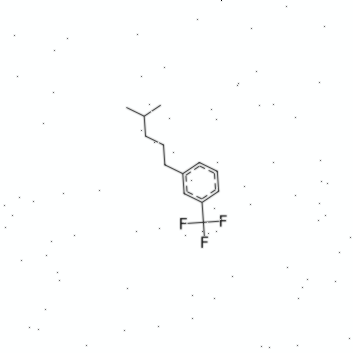 CC(C)CCCc1cccc(C(F)(F)F)c1